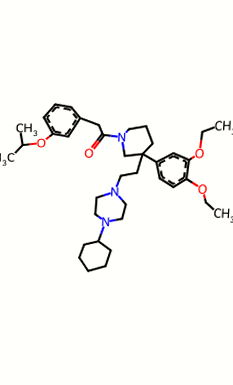 CCOc1ccc(C2(CCN3CCN(C4CCCCC4)CC3)CCCN(C(=O)Cc3cccc(OC(C)C)c3)C2)cc1OCC